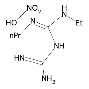 CCC/N=C(/NCC)NC(=N)N.O=[N+]([O-])O